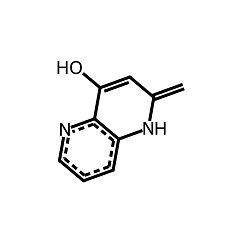 C=C1C=C(O)c2ncccc2N1